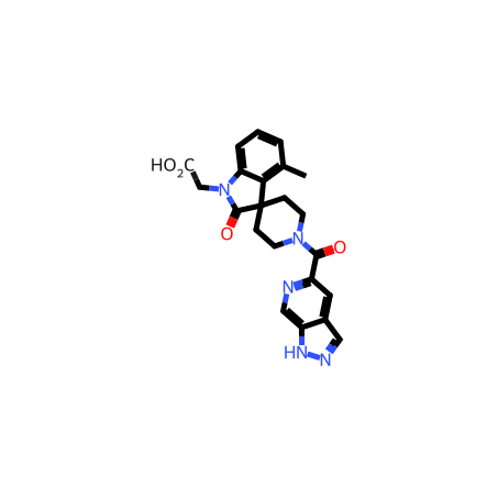 Cc1cccc2c1C1(CCN(C(=O)c3cc4cn[nH]c4cn3)CC1)C(=O)N2CC(=O)O